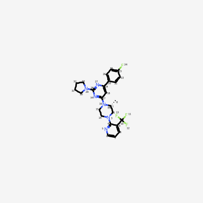 C[C@@H]1CN(c2ncccc2C(F)(F)F)CCN1c1cc(-c2ccc(F)cc2)nc(N2CCCC2)n1